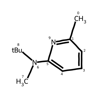 Cc1cccc(N(C)C(C)(C)C)n1